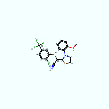 COc1ccccc1N1CCSC1C(C#N)Sc1cc(C(F)(F)F)ccc1F